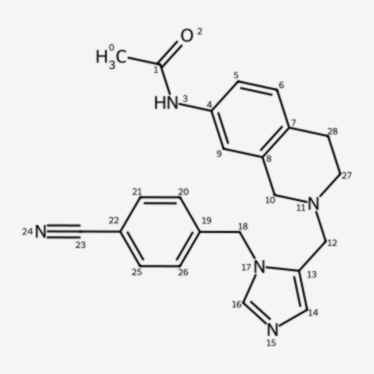 CC(=O)Nc1ccc2c(c1)CN(Cc1cncn1Cc1ccc(C#N)cc1)CC2